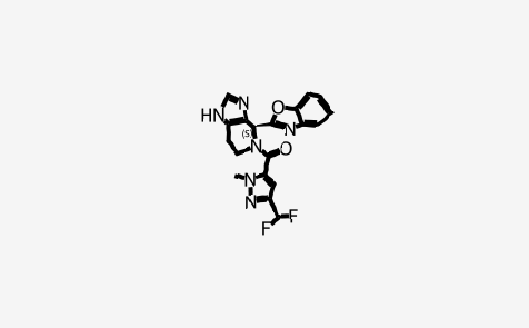 Cn1nc(C(F)F)cc1C(=O)N1CCc2[nH]cnc2[C@H]1c1nc2ccccc2o1